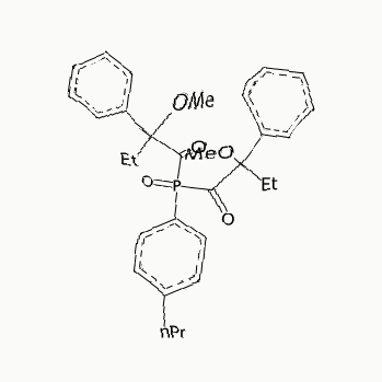 CCCc1ccc(P(=O)(C(=O)C(CC)(OC)c2ccccc2)C(=O)C(CC)(OC)c2ccccc2)cc1